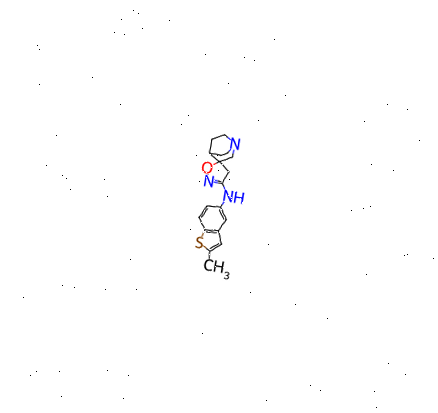 Cc1cc2cc(NC3=NOC4(C3)CN3CCC4CC3)ccc2s1